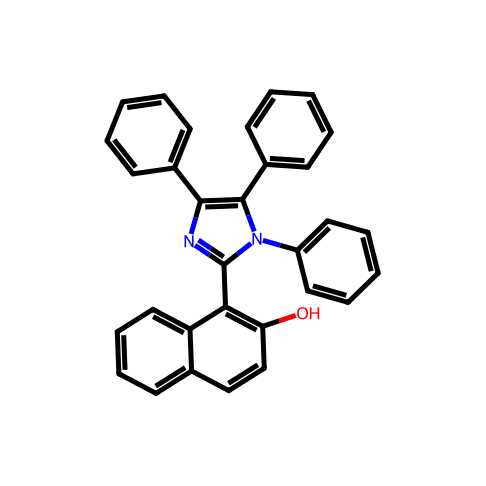 Oc1ccc2ccccc2c1-c1nc(-c2ccccc2)c(-c2ccccc2)n1-c1ccccc1